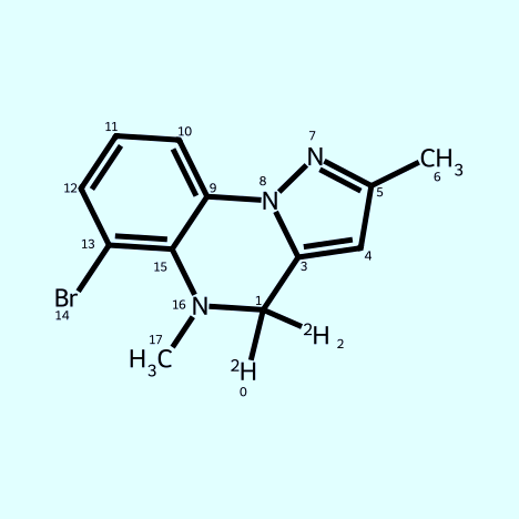 [2H]C1([2H])c2cc(C)nn2-c2cccc(Br)c2N1C